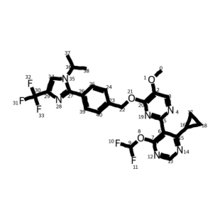 COc1cnc(-c2c(OC(F)F)ncnc2C2CC2)nc1OCc1ccc(-c2nc(C(F)(F)F)cn2C(C)C)cc1